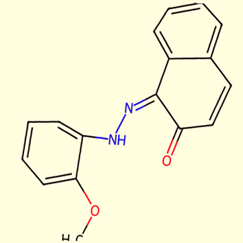 COc1ccccc1N/N=C1\C(=O)C=Cc2ccccc21